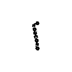 C1=[N+](Cc2ccccc2)CCN1c1ccc(-[n+]2ccc(-c3cc[n+](-c4ccc(-n5cc[n+](Cc6ccccc6)c5)cc4)cc3)cc2)cc1